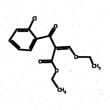 CCO/C=C(\C(=O)OCC)C(=O)c1ccccc1Cl